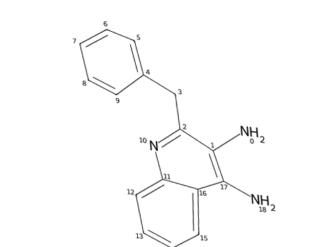 Nc1c(Cc2ccccc2)nc2ccccc2c1N